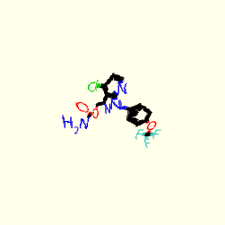 NC(=O)OCc1nn(-c2ccc(OC(F)(F)F)cc2)c2nccc(Cl)c12